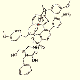 COc1ccc(CN(Cc2ccc(OC)cc2)S(=O)(=O)c2c(S(=O)(=O)NC[C@H](CO)N(Cc3ccccc3)C(=O)O)ccc(-c3ccc(N)nc3)c2-c2nnn(Cc3ccc(OC)cc3)n2)cc1